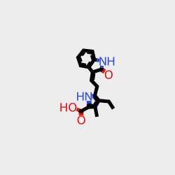 CCc1c(CC=C2C(=O)Nc3ccccc32)[nH]c(C(=O)O)c1C